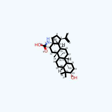 C=C(C)[C@@H]1CC[C@]2(NC(=O)O)CC[C@]3(C)[C@H](CC[C@@H]4[C@@]5(C)CC[C@H](O)C(C)(C)[C@@H]5CC[C@]43C)[C@@H]12